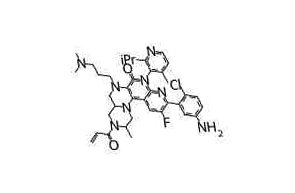 C=CC(=O)N1CC2CN(CCCN(C)C)c3c(c4cc(F)c(-c5cc(N)ccc5Cl)nc4n(-c4c(C)ccnc4C(C)C)c3=O)N2CC1C